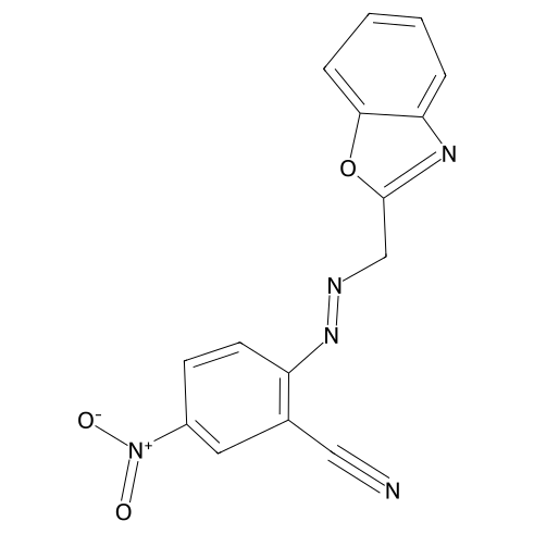 N#Cc1cc([N+](=O)[O-])ccc1N=NCc1nc2ccccc2o1